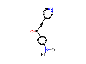 CCN(CC)c1ccc(C(=O)C#Cc2ccncc2)cc1